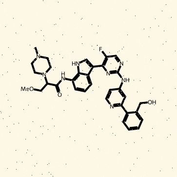 COCC(C(=O)Nc1cccc2c(-c3nc(Nc4ccnc(-c5ccccc5CO)c4)ncc3F)c[nH]c12)N1CCN(C)CC1